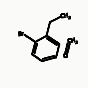 C=O.CCc1ccccc1Br